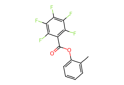 Cc1ccccc1OC(=O)c1c(F)c(F)c(F)c(F)c1F